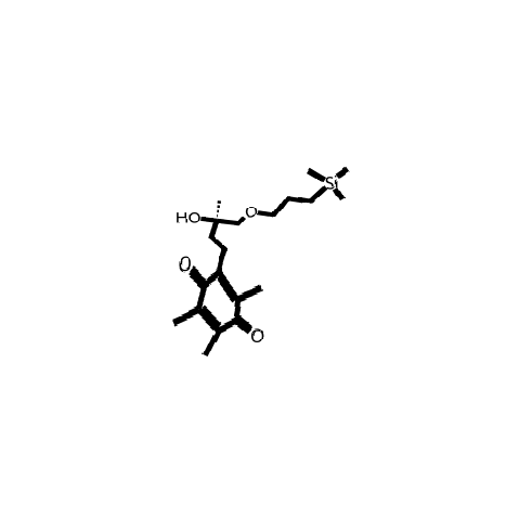 CC1=C(C)C(=O)C(CC[C@@](C)(O)COCCC[Si](C)(C)C)=C(C)C1=O